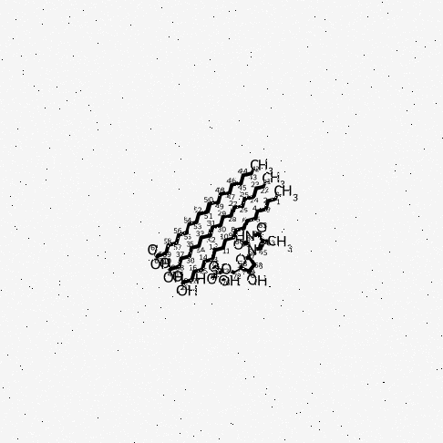 CCCCCCCCCCCCCCCCCCC(=O)O.CCCCCCCCCCCCCCCCCCC(=O)O.CCCCCCCCCCCCCCCCCCC(=O)O.Cc1cn([C@H]2C[C@H](O)[C@@H](COP(=O)(O)O)O2)c(=O)[nH]c1=O